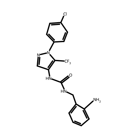 Nc1ccccc1CNC(=O)Nc1cnn(-c2ccc(Cl)cc2)c1C(F)(F)F